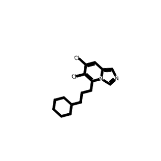 Clc1cc2cncn2c(CCCC2CCCCC2)c1Cl